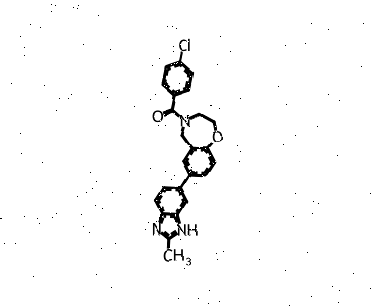 Cc1nc2ccc(-c3ccc4c(c3)CN(C(=O)c3ccc(Cl)cc3)CCO4)cc2[nH]1